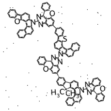 CC1(C)c2ccc(-c3cc4c5c(nc(-n6c7ccc8ccccc8c7c7c8sc9ccc(-c%10cc%11c%12c(nc(-n%13c%14ccc%15ccccc%15c%14c%14c%15oc%16ccccc%16c%15ccc%14%13)nc%12c%10)-c%10ccccc%10O%11)cc9c8ccc76)nc5c3)-c3ccccc3O4)cc2-c2ccc3c(c21)c1c2ccccc2ccc1n3-c1nc2c3c(cccc3n1)Oc1ccccc1-2